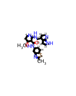 COc1ccnc(NCc2ccnc3[nH]ccc23)c1C(=O)Nc1ccc2sc(C)nc2c1